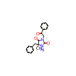 C[C@@]1(Cc2ccccc2)NC(=O)N(CC(=O)c2ccccc2)C1=O